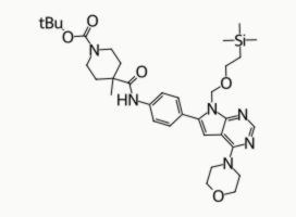 CC(C)(C)OC(=O)N1CCC(C)(C(=O)Nc2ccc(-c3cc4c(N5CCOCC5)ncnc4n3COCC[Si](C)(C)C)cc2)CC1